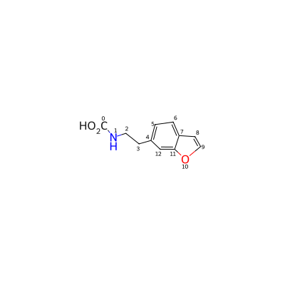 O=C(O)NCCc1ccc2ccoc2c1